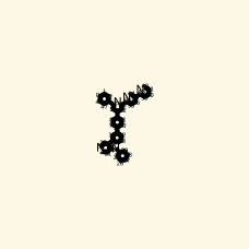 c1ccc(-c2cc(-c3ccc(-c4ccc5c(c4)c4cnccc4n5-c4ccccc4)cc3)cc(-c3ccc(-c4ccccn4)cn3)n2)cc1